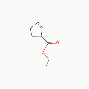 CCOC(=O)C1C=CCC1